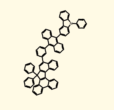 c1ccc(-n2c3ccccc3c3cc(-c4c5ccccc5c(-c5cccc(-c6cc7c(c8ccccc68)-c6c(c8ccccc8c8ccccc68)C7(c6ccccc6)c6ccccc6)c5)c5ccccc45)ccc32)cc1